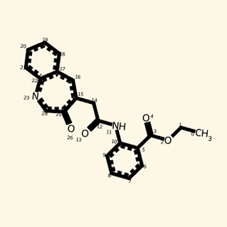 CCOC(=O)c1ccccc1NC(=O)Cc1cc2ccccc2ncc1=O